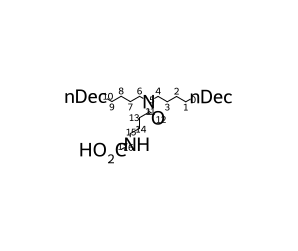 CCCCCCCCCCCCCCN(CCCCCCCCCCCCCC)C(=O)CCCNC(=O)O